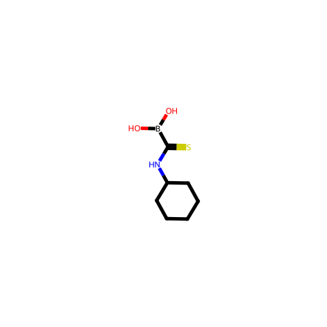 OB(O)C(=S)NC1CCCCC1